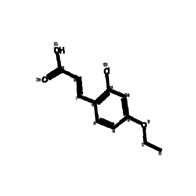 CCOc1ccc(C=CC(=O)O)c(Cl)c1